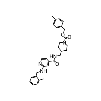 Cc1ccc(COC(=O)N2CCC(CNC(=O)c3ccnc(NCc4ccccc4C)c3)CC2)cc1